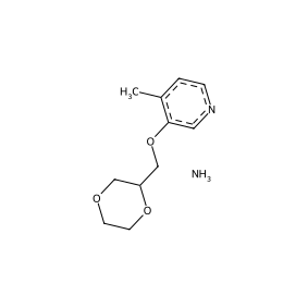 Cc1ccncc1OCC1COCCO1.N